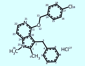 Cc1c(Cc2ccccc2)c2c(OCc3ccc(Cl)cc3)nccc2n1C.Cl